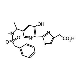 CC(NS(=O)(=O)Cc1ccccc1)c1cnc(-c2nc(CC(=O)O)cs2)c(O)c1